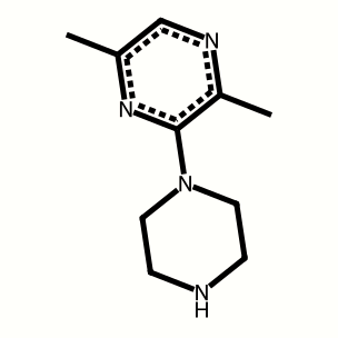 Cc1cnc(C)c(N2CCNCC2)n1